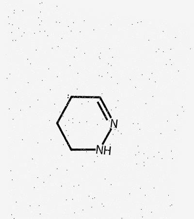 [C]1C=NNCC1